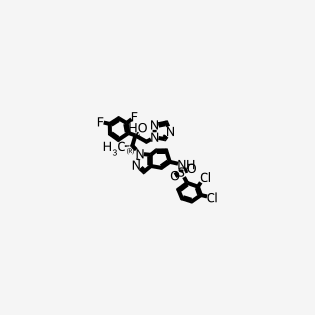 C[C@@H](n1ncc2cc(NS(=O)(=O)c3cccc(Cl)c3Cl)ccc21)[C@](O)(Cn1cncn1)c1ccc(F)cc1F